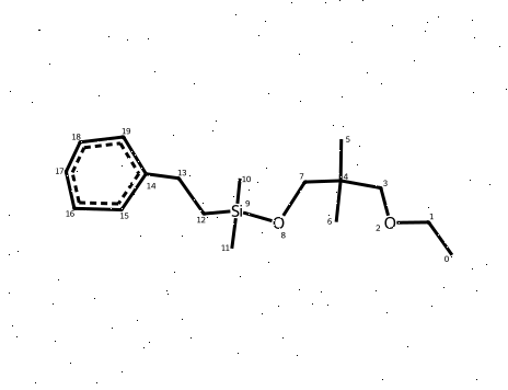 CCOCC(C)(C)CO[Si](C)(C)CCc1ccccc1